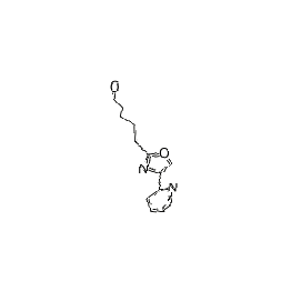 O=CCCCCc1nc(-c2ccccn2)co1